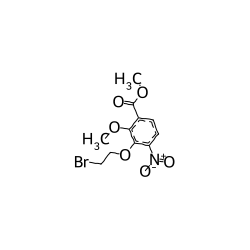 COC(=O)c1ccc([N+](=O)[O-])c(OCCBr)c1OC